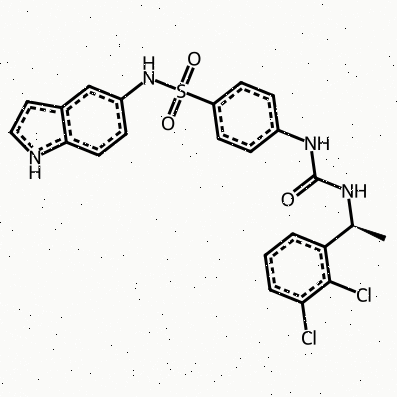 C[C@H](NC(=O)Nc1ccc(S(=O)(=O)Nc2ccc3[nH]ccc3c2)cc1)c1cccc(Cl)c1Cl